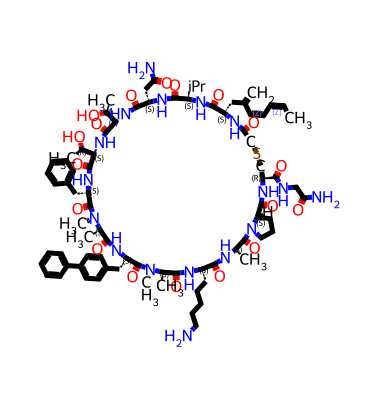 C=C(/C=C\C=C/C)C[C@@H]1NC(=O)CSC[C@@H](C(=O)NCC(N)=O)NC(=O)[C@@H]2CCCN2C(=O)[C@H](C)NC(=O)[C@H](CCCCCN)NC(=O)[C@H](C)N(C)C(=O)[C@H](Cc2ccc(-c3ccccc3)cc2)NC(=O)[C@H](C)N(C)C(=O)[C@H](Cc2ccccc2)NC(=O)[C@H]([C@@H](C)O)NC(=O)[C@H]([C@@H](C)O)NC(=O)[C@H](CC(N)=O)NC(=O)[C@H](C(C)C)NC1=O